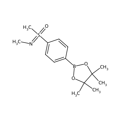 CN=S(C)(=O)c1ccc(B2OC(C)(C)C(C)(C)O2)cc1